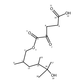 CC(COC(=O)C(=O)CCC(=O)O)CC(C)C(C)(C)O